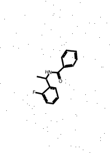 CC(NC(=O)c1ccccc1)c1ccccc1F